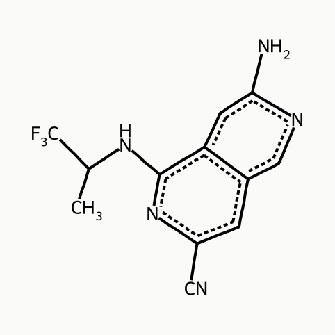 CC(Nc1nc(C#N)cc2cnc(N)cc12)C(F)(F)F